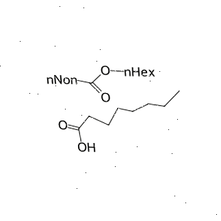 CCCCCCCC(=O)O.CCCCCCCCCC(=O)OCCCCCC